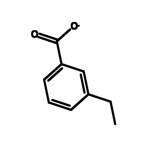 CCc1cccc(C([O])=O)c1